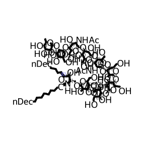 CCCCCCCCCCCCC/C=C/[C@@H](O)[C@H](CO[C@@H]1OC(CO)[C@@H](O[C@@H]2OC(CO)[C@H](O)[C@H](O[C@@H]3OC(CO)[C@@H](O[C@@H]4OC(CO)[C@H](O)[C@H](O[C@@H]5OC(CO)[C@@H](O[C@@H]6OC(CO)[C@H](O)[C@H](O[C@@H]7OC(CO)[C@@H](O[C@@H]8OC(CO)[C@H](O)[C@H](O)C8O[C@H]8OC(C)[C@@H](O)C(O)[C@@H]8O)[C@H](O)C7NC(C)=O)C6O)[C@H](O)C5NC(C)=O)C4O)[C@H](O)C3NC(C)=O)C2O)[C@H](O)C1O)NC(=O)CCCCCCCCCCCCCCCCCCC